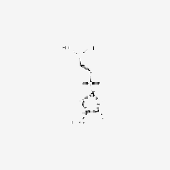 CN(C)/C=N/S(=O)(=O)c1cc([N+](=O)[O-])c(Cl)s1